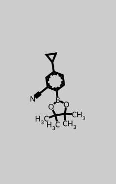 CC1(C)OB(c2ccc(C3CC3)cc2C#N)OC1(C)C